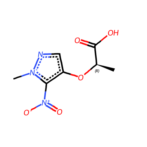 C[C@@H](Oc1cnn(C)c1[N+](=O)[O-])C(=O)O